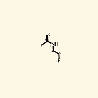 C=C(C)NCCF